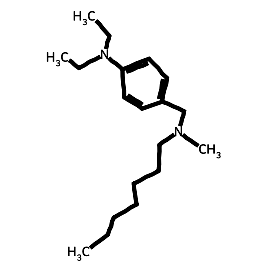 CCCCCCCN(C)Cc1ccc(N(CC)CC)cc1